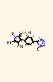 CCc1c(C#N)c(-c2ccc(-c3nnnn3C)cc2)c(C(=O)O)n1C